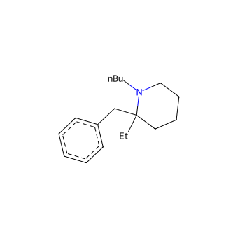 CCCCN1CCCCC1(CC)Cc1ccccc1